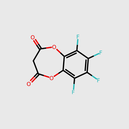 O=C1CC(=O)Oc2c(F)c(F)c(F)c(F)c2O1